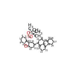 CC1(C)OB(c2cccc3oc4ccc(-c5ccc6c7c(cccc57)-c5ccccc5-6)cc4c23)OC1(C)C